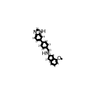 COc1cccc2c1CC(NCc1ccc(-c3ccc4nc[nH]c4c3)cc1)C2